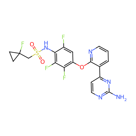 Nc1nccc(-c2cccnc2Oc2cc(F)c(NS(=O)(=O)CC3(F)CC3)c(F)c2F)n1